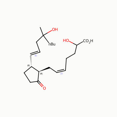 CCCCC(C)(O)C/C=C/[C@H]1CCC(=O)[C@@H]1C/C=C\CCC(O)C(=O)O